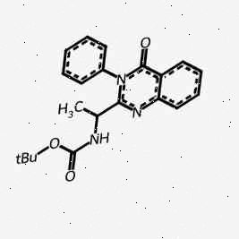 CC(NC(=O)OC(C)(C)C)c1nc2ccccc2c(=O)n1-c1ccccc1